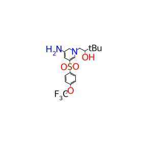 CC(C)(C)C(O)CN1C=C(S(=O)(=O)c2ccc(OC(F)(F)F)cc2)C=C(N)C1